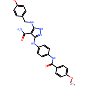 COc1ccc(C(=O)Nc2ccc(Nc3n[nH]c(NCc4ccc(O)cc4)c3C(N)=O)cc2)cc1